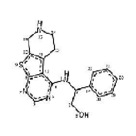 OCC(Nc1ncnc2sc3c(c12)CCNC3)c1ccccc1